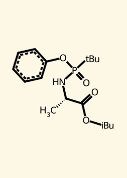 CCC(C)OC(=O)[C@H](C)NP(=O)(Oc1ccccc1)C(C)(C)C